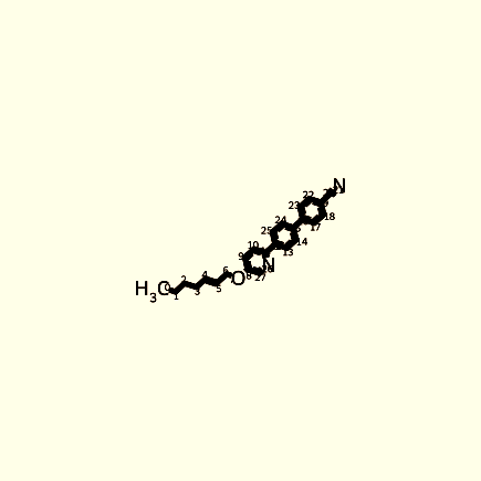 CCCC/C=C/COc1ccc(-c2ccc(-c3ccc(C#N)cc3)cc2)nc1